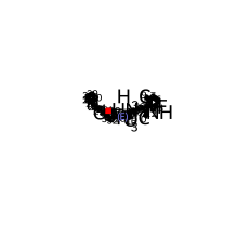 Cc1[nH]c2c(F)ccc(C)c2c1CCNC(=O)/C=C/c1ccc(OCCN2CCCC2)cc1